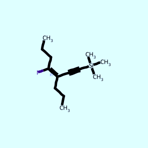 CCC/C(I)=C(\C#C[Si](C)(C)C)CCC